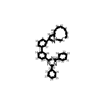 c1ccccn2nc(-c3cccc(-c4cccc(-c5nc(-c6ccccc6)nc(-c6ccccc6)n5)c4)c3)cc2ccc1